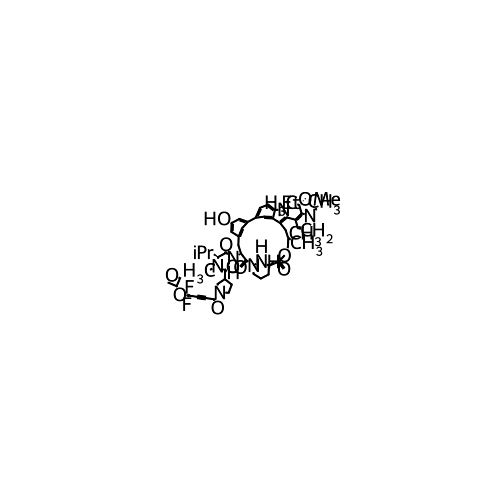 C=C/C(=C(\N=C/C)[C@H](C)OC)c1c2c3cc(ccc3n1CC)-c1cc(O)cc(c1)C[C@H](NC(=O)[C@H](C(C)C)N(C)C(=O)C1CCN(C(=O)C#CC(F)(F)OC3COC3)C1)C(=O)N1CCC[C@H](N1)C(=O)OCC(C)(C)C2